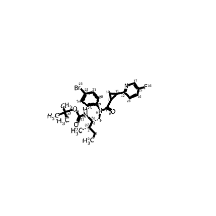 CC[C@H](C)[C@@H](CN(C(=O)C1CC1c1ccc(F)cn1)c1ccc(Br)cc1)NC(=O)OC(C)(C)C